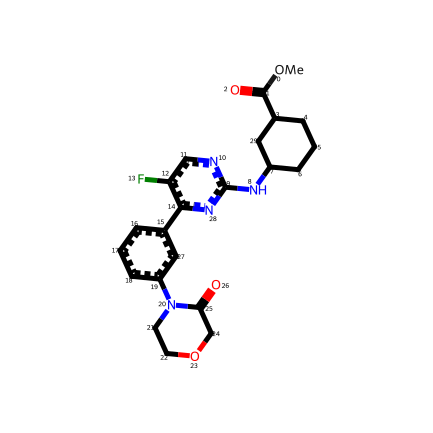 COC(=O)C1CCCC(Nc2ncc(F)c(-c3cccc(N4CCOCC4=O)c3)n2)C1